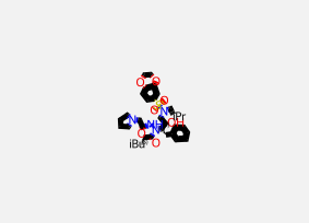 CC[C@H](C)CC(=O)N(NC(=O)CN1CCCC1)[C@@H](Cc1ccccc1)[C@H](O)CN(CC(C)C)S(=O)(=O)c1ccc2c(c1)OCCO2